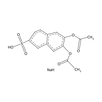 CC(=O)Oc1cc2ccc(S(=O)(=O)O)cc2cc1OC(C)=O.[NaH]